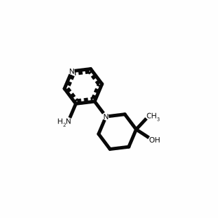 CC1(O)CCCN(c2ccncc2N)C1